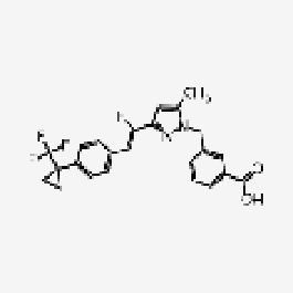 Cc1cc(/C(F)=C/c2ccc(C3(C(F)(F)F)CC3)cc2)nn1Cc1cccc(C(=O)O)c1